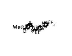 CCC(C(=O)NC1C2CC3CC1CC(C(=O)OC)(C3)C2)N1CCN(c2ccc(C(F)(F)F)cn2)CC1